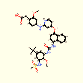 COc1cc(Nc2cc(Oc3ccc(NC(=O)Nc4cc(C(C)(C)C)cc(NS(C)(=O)=O)c4OC)c4ccccc34)ccn2)ccc1CC(=O)O